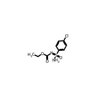 CCOC(=O)N=S(N)(=O)c1ccc(Cl)cc1